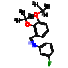 [2H]C([2H])([2H])Oc1cccc(/C=N\c2cccc(F)c2)c1OC([2H])([2H])[2H]